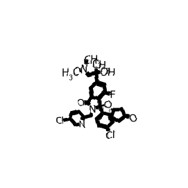 CN(C)CC(C)(O)c1cc(F)c2c(c1)C(=O)N(Cc1ccc(Cl)cn1)[C@@]2(O[C@H]1CCC(=O)C1)c1ccc(Cl)cc1